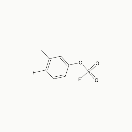 Cc1cc(OS(=O)(=O)F)ccc1F